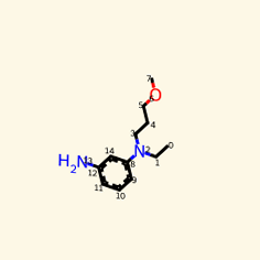 CCN(CCCOC)c1cccc(N)c1